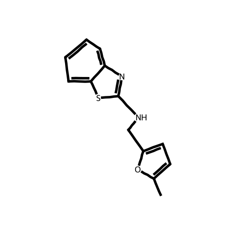 Cc1ccc(CNc2nc3ccccc3s2)o1